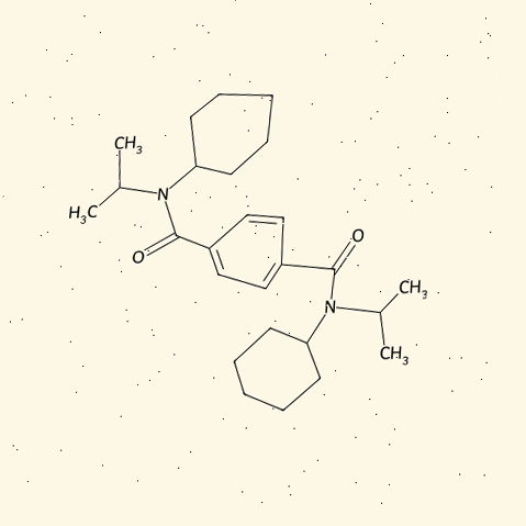 CC(C)N(C(=O)c1ccc(C(=O)N(C(C)C)C2CCCCC2)cc1)C1CCCCC1